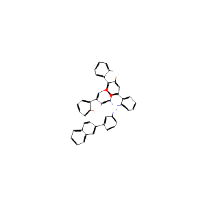 c1cc(-c2ccc3ccccc3c2)cc(N(c2ccccc2-c2ccc3c(c2)sc2ccccc23)c2cccc3c2oc2ccccc23)c1